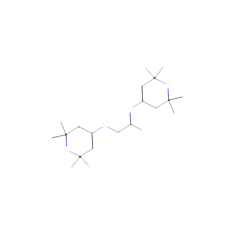 CCCCCCC(CNC1CC(C)(C)NC(C)(C)C1)NC1CC(C)(C)NC(C)(C)C1